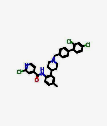 Cc1ccc(NC(=O)c2ccnc(Cl)c2)c(C2CCN(Cc3ccc(-c4ccc(Cl)cc4Cl)cc3)CC2)c1